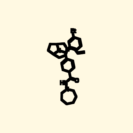 C=CCN1CCC2CCC(C1)N2C(C1=CCC(C(=O)NN2CCCCCC2)C=C1)c1cccc(CC)c1